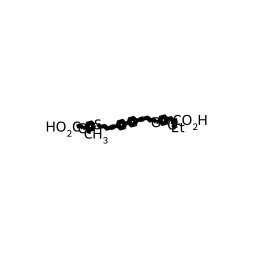 CCOC(Cc1ccc(OCC=CC#Cc2ccc(-c3ccc(C#CC=CCSc4ccc(OCC(=O)O)c(C)c4)cc3)cc2)cc1)C(=O)O